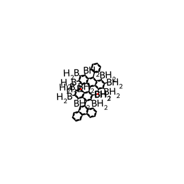 Bc1c(B)c(B)c2c(-c3c4c(B)c(B)c(B)c(B)c4c(-c4ccccc4)c4c(B)c(B)c(B)c(B)c34)c(B)c(B)c(-c3cc4ccccc4c4ccccc34)c2c1B